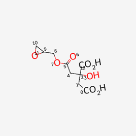 O=C(O)CC(O)(CC(=O)OCC1CO1)C(=O)O